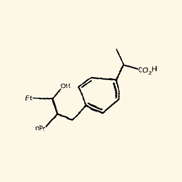 CCCC(Cc1ccc(C(C)C(=O)O)cc1)C(O)CC